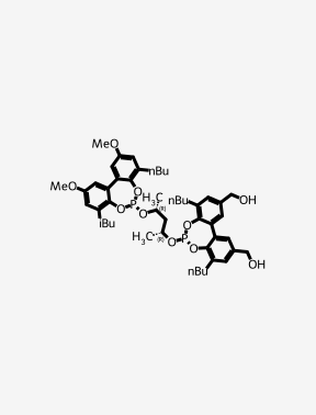 CCCCc1cc(CO)cc2c1op(O[C@H](C)C[C@@H](C)Op1oc3c(CCCC)cc(OC)cc3c3cc(OC)cc(C(C)CC)c3o1)oc1c(CCCC)cc(CO)cc12